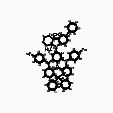 CC12CCCCC1(C)N(c1cc3c4c(c1)N(c1ccc(F)cc1)c1cccc5c1B4c1c(cccc1C5(c1ccccc1)c1ccccc1)N3c1ccc(F)cc1)c1ccc(-c3ccccc3)cc12